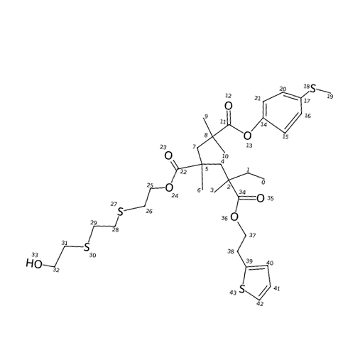 CCC(C)(CC(C)(CC(C)(C)C(=O)Oc1ccc(SC)cc1)C(=O)OCCSCCSCCO)C(=O)OCCc1cccs1